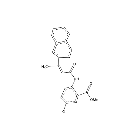 COC(=O)c1cc(Cl)ccc1NC(=O)/C=C(/C)c1ccc2ccccc2c1